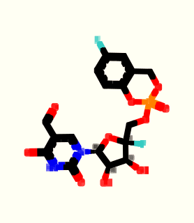 O=Cc1cn([C@@H]2O[C@](F)(COP3(=O)OCc4cc(F)ccc4O3)[C@@H](O)[C@H]2O)c(=O)[nH]c1=O